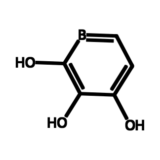 Oc1bccc(O)c1O